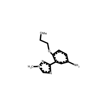 COCCOc1ccc(N)cc1-c1ncn(C)n1